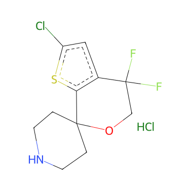 Cl.FC1(F)COC2(CCNCC2)c2sc(Cl)cc21